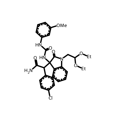 CCOC(CN1C(=O)C(NC(=O)Nc2cccc(OC)c2)(C(C(N)=O)c2ccc(Cl)cc2)c2ccccc21)OCC